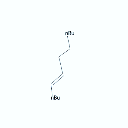 C[CH]CCC=CCCCCCC